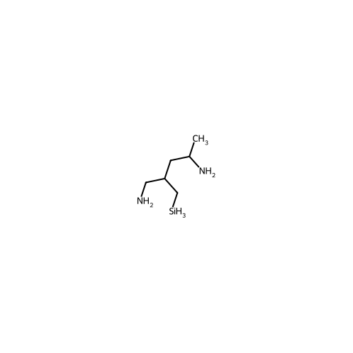 CC(N)CC(CN)C[SiH3]